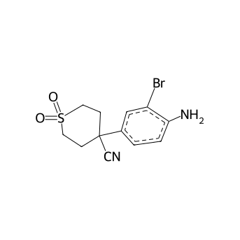 N#CC1(c2ccc(N)c(Br)c2)CCS(=O)(=O)CC1